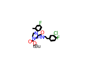 Cc1cc(F)ccc1N1CCN(C(=O)OC(C)(C)C)CC1C(=O)NCCc1ccc(F)c(Cl)c1